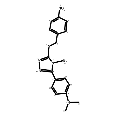 CCn1c(SCc2ccc([N+](=O)[O-])cc2)nnc1-c1ccc(N(C)C)cc1